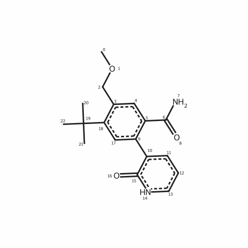 COCc1cc(C(N)=O)c(-c2ccc[nH]c2=O)cc1C(C)(C)C